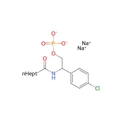 CCCCCCCC(=O)NC(COP(=O)([O-])[O-])c1ccc(Cl)cc1.[Na+].[Na+]